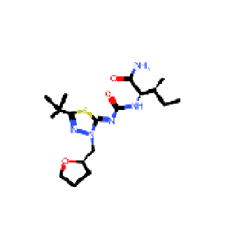 CC[C@H](C)[C@H](NC(=O)/N=c1\sc(C(C)(C)C)nn1C[C@H]1CCCO1)C(N)=O